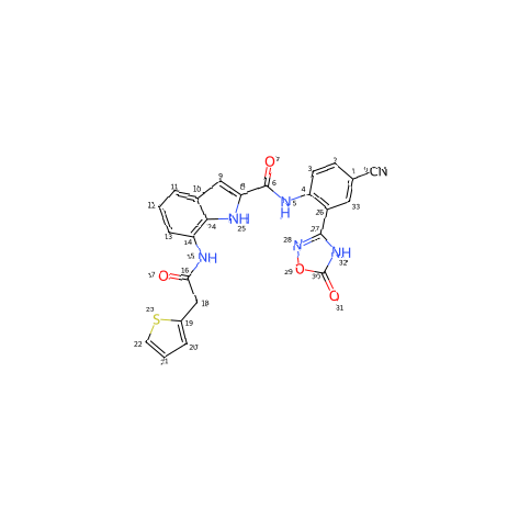 N#Cc1ccc(NC(=O)c2cc3cccc(NC(=O)Cc4cccs4)c3[nH]2)c(-c2noc(=O)[nH]2)c1